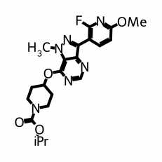 COc1ccc(-c2nn(C)c3c(OC4CCN(C(=O)OC(C)C)CC4)ncnc23)c(F)n1